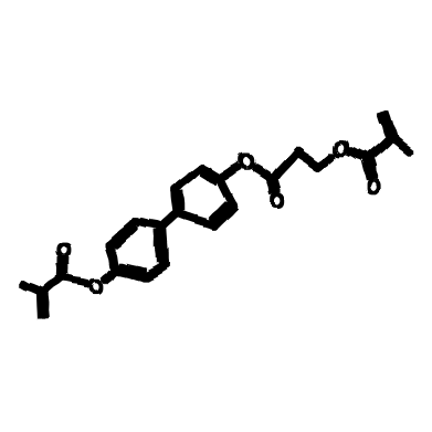 C=C(C)C(=O)OCCC(=O)Oc1ccc(-c2ccc(OC(=O)C(=C)C)cc2)cc1